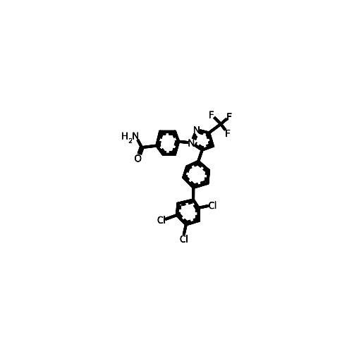 NC(=O)c1ccc(-n2nc(C(F)(F)F)cc2-c2ccc(-c3cc(Cl)c(Cl)cc3Cl)cc2)cc1